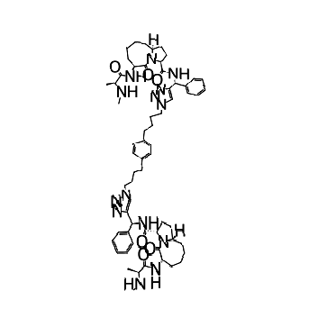 CN[C@@H](C)C(=O)N[C@H]1CCCC[C@H]2CC[C@@H](C(=O)N[C@H](c3ccccc3)c3cn(CCCCc4ccc(CCCCn5cc([C@@H](NC(=O)[C@@H]6CC[C@@H]7CCCC[C@H](NC(=O)[C@H](C)NC)C(=O)N76)c6ccccc6)nn5)cc4)nn3)N2C1=O